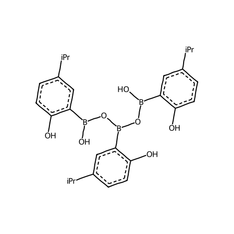 CC(C)c1ccc(O)c(B(O)OB(OB(O)c2cc(C(C)C)ccc2O)c2cc(C(C)C)ccc2O)c1